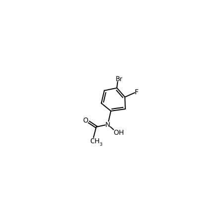 CC(=O)N(O)c1ccc(Br)c(F)c1